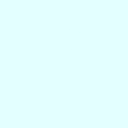 CCCCC#CCOc1ccc[c]c1F